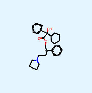 O=C(OC[C@H](CCN1CCCCC1)c1ccccc1)C(O)(c1ccccc1)C1CCCCC1